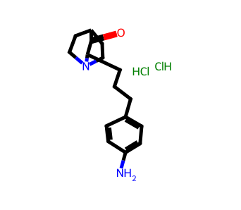 Cl.Cl.Nc1ccc(CCCC2C(=O)C3CCN2CC3)cc1